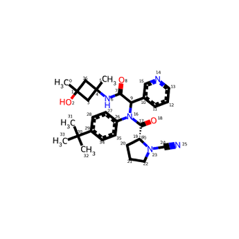 CC1(O)CC(C)(NC(=O)C(c2cccnc2)N(C(=O)[C@H]2CCCN2C#N)c2ccc(C(C)(C)C)cc2)C1